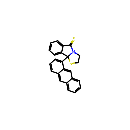 S=C1c2ccccc2C2(c3cccc4cc5ccccc5cc34)SCCN12